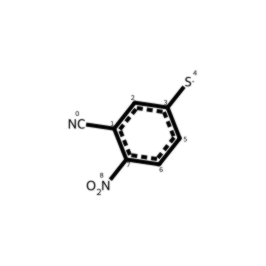 N#Cc1cc([S])ccc1[N+](=O)[O-]